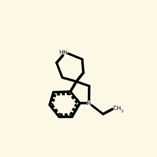 CCN1CC2(CCNCC2)c2ccccc21